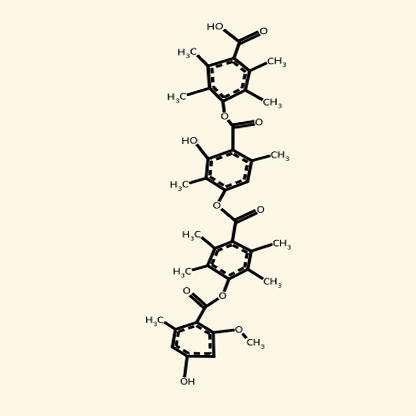 COc1cc(O)cc(C)c1C(=O)Oc1c(C)c(C)c(C(=O)Oc2cc(C)c(C(=O)Oc3c(C)c(C)c(C(=O)O)c(C)c3C)c(O)c2C)c(C)c1C